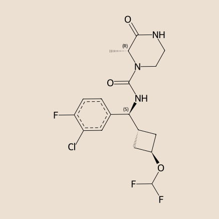 C[C@@H]1C(=O)NCCN1C(=O)N[C@H](c1ccc(F)c(Cl)c1)[C@H]1C[C@H](OC(F)F)C1